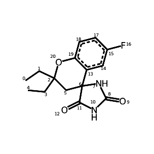 CCC1(CC)CC2(NC(=O)NC2=O)c2cc(F)ccc2O1